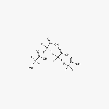 O=C(O)C(F)(F)F.O=C(O)C(F)(F)F.O=C(O)C(F)(F)F.O=C(O)C(F)(F)F.[Mn]